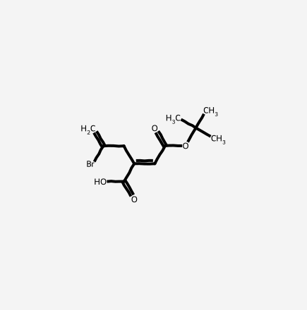 C=C(Br)C/C(=C\C(=O)OC(C)(C)C)C(=O)O